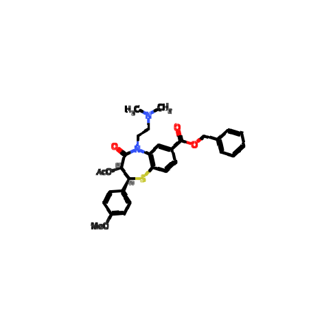 COc1ccc([C@@H]2Sc3ccc(C(=O)OCc4ccccc4)cc3N(CCN(C)C)C(=O)[C@@H]2OC(C)=O)cc1